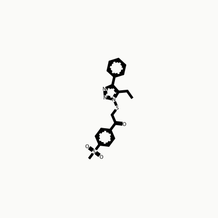 CCc1c(-c2ccccc2)nnn1SCC(=O)c1ccc(S(C)(=O)=O)cc1